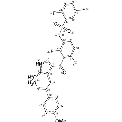 C=c1[nH]cc(C(=O)c2c(F)ccc(NS(=O)(=O)c3cc(F)ccc3F)c2F)/c1=C/C(=C\N)c1ccc(OC)nc1